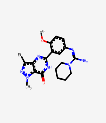 CCCOc1ccc(N=C(N)N2CCCCC2)cc1-c1nc2c(CC)nn(C)c2c(=O)[nH]1